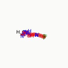 COc1cnc(-n2cnc(C(=O)NCCCCC(CO)(CO)CNC(=O)CCOCCOCCOCCOCc3cn(CCOCCOCCOCCOCCC(=O)Oc4c(F)cc(F)cc4F)nn3)n2)c2[nH]cc(C(=O)C(=O)N3CCC(=C(C#N)c4ccccc4)CC3)c12